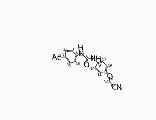 CC(=O)c1ccc(NC(=O)Nc2ccc(OCC#N)cc2)cc1